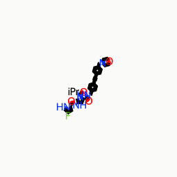 CC(C)C(=O)N1C[C@H](NC(=O)[C@@H]2C[C@H](F)CN2)C[C@@H]1C(=O)NCc1ccc(C#Cc2ccc(CN3CCOCC3)cc2)cc1